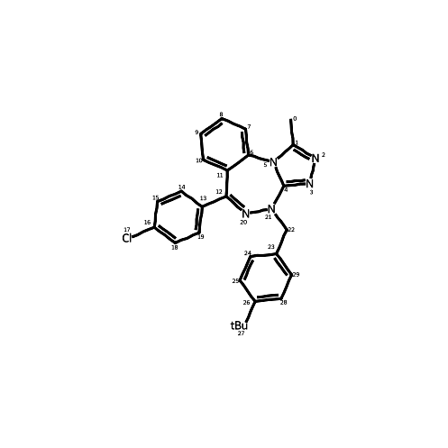 Cc1nnc2n1-c1ccccc1C(c1ccc(Cl)cc1)=NN2Cc1ccc(C(C)(C)C)cc1